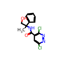 CC(CO)(NC(=O)c1cc(Cl)nnc1Cl)c1ccccc1